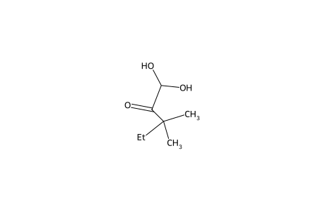 CCC(C)(C)C(=O)C(O)O